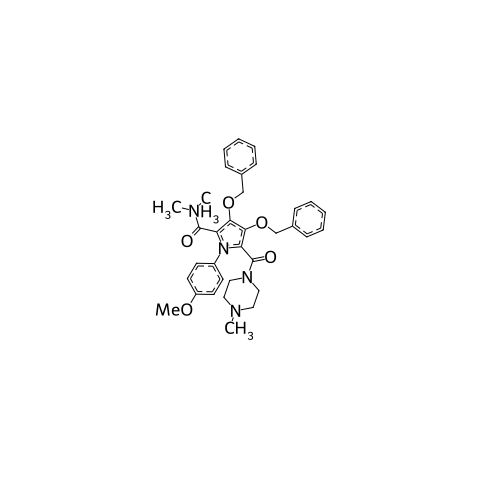 COc1ccc(-n2c(C(=O)N(C)C)c(OCc3ccccc3)c(OCc3ccccc3)c2C(=O)N2CCN(C)CC2)cc1